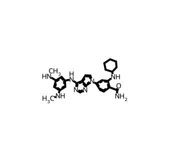 CNc1cc(NC)cc(Nc2ncnc3c2ccn3-c2ccc(C(N)=O)c(NC3CCCCC3)c2)c1